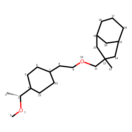 CO[C@H](C)C1CCC(CCOCC2(C)CC3CCCC(C3)C2)CC1